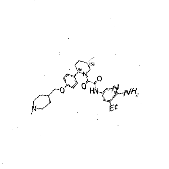 CCc1cc(NC(=O)C(=O)N2C[C@@H](C)CC[C@@H]2c2ccc(OCC3CCN(C)CC3)cc2)cnc1N